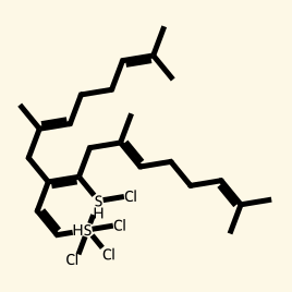 CC(C)=CCCC=C(C)CC1=C(CC(C)=CCCC=C(C)C)[SH](Cl)[SH](Cl)(Cl)(Cl)C=C1